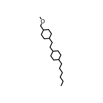 CCCCCCC1CCC(CCC2CCC(COC)CC2)CC1